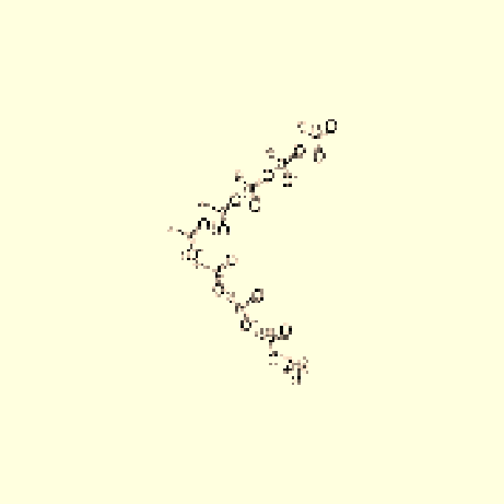 CC(=O)[O-].CC(=O)[O-].CC(=O)[O-].CC(=O)[O-].CC(=O)[O-].CC(=O)[O-].CC(=O)[O-].CC(=O)[O-].[U+6].[Zn+2]